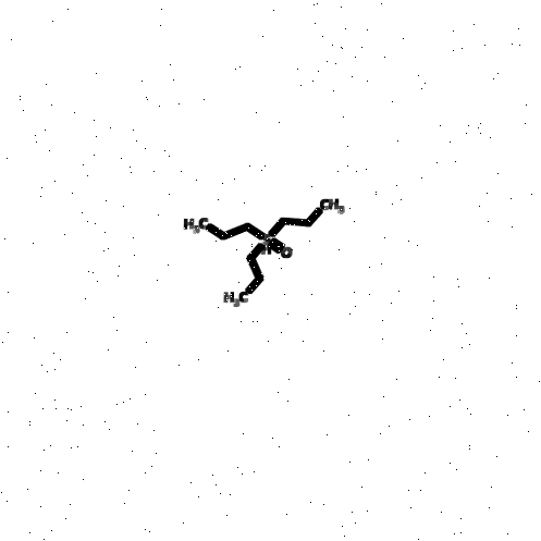 CCC[SH](=O)(CCC)CCC